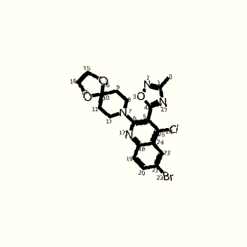 Cc1noc(-c2c(N3CCC4(CC3)OCCO4)nc3ccc(Br)cc3c2Cl)n1